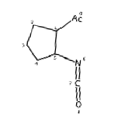 CC(=O)C1CCCC1N=C=O